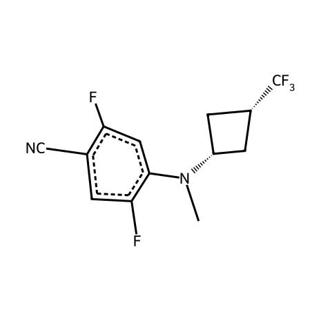 CN(c1cc(F)c(C#N)cc1F)[C@H]1C[C@@H](C(F)(F)F)C1